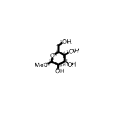 COC1OC(CO)C(O)[C@@H](O)C1O